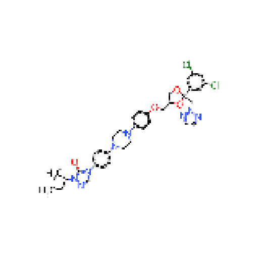 CCC(C)n1ncn(-c2ccc(N3CCN(c4ccc(OCC5COC(Cn6nccn6)(c6cc(Cl)cc(Cl)c6)O5)cc4)CC3)cc2)c1=O